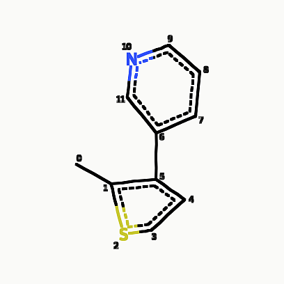 Cc1sccc1-c1cccnc1